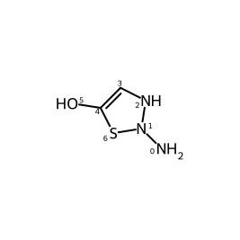 NN1NC=C(O)S1